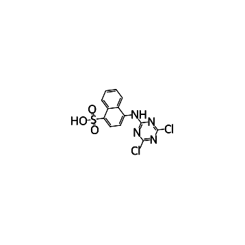 O=S(=O)(O)c1ccc(Nc2nc(Cl)nc(Cl)n2)c2ccccc12